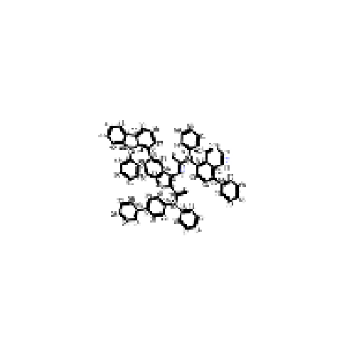 C=Cc1c(N(/C(C)=C/c2c(C(=C)N(c3ccccc3)c3ccc(-c4ccccc4)cc3)sc3ccc(-c4cccc5c6ccccc6n(-c6ccccc6)c45)cc23)c2ccccc2)ccc(-c2ccccc2)c1/C=C\C